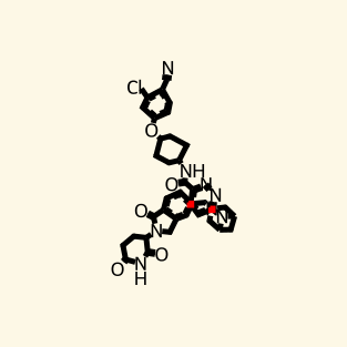 N#Cc1ccc(OC2CCC(NC(=O)c3ccc(N4C5CC4CN(Cc4ccc6c(c4)CN(C4CCC(=O)NC4=O)C6=O)C5)nn3)CC2)cc1Cl